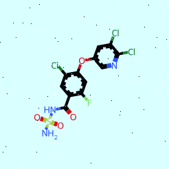 NS(=O)(=O)NC(=O)c1cc(Cl)c(Oc2cnc(Cl)c(Cl)c2)cc1F